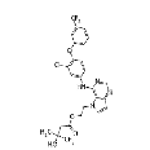 CC(O)(CC(=O)OCCn1ccc2ncnc(Nc3ccc(Oc4cccc(C(F)(F)F)c4)c(Cl)c3)c21)C(F)(F)F